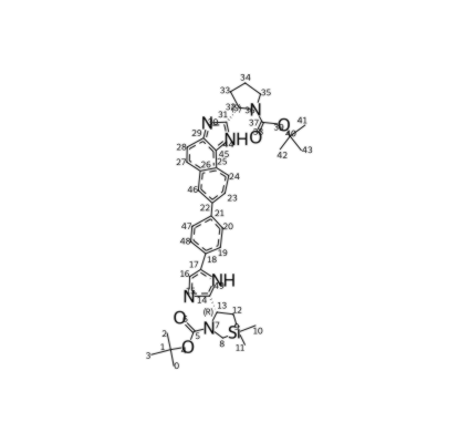 CC(C)(C)OC(=O)N1C[Si](C)(C)C[C@H]1c1ncc(-c2ccc(-c3ccc4c(ccc5nc([C@@H]6CCCN6C(=O)OC(C)(C)C)[nH]c54)c3)cc2)[nH]1